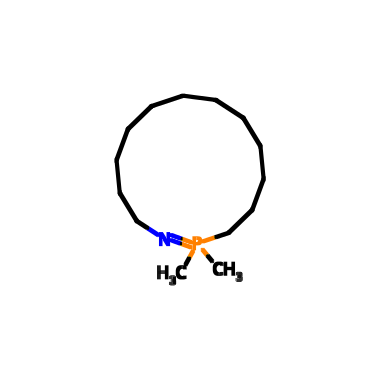 CP1(C)=NCCCCCCCCCCCC1